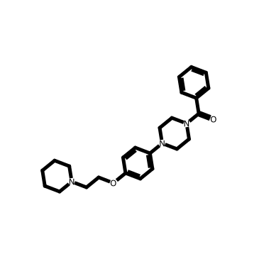 O=C(c1ccccc1)N1CCN(c2ccc(OCCN3CCCCC3)cc2)CC1